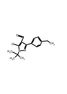 CCc1ccc(-c2nn(C(C)(C)C)c(Cl)c2C=O)cc1